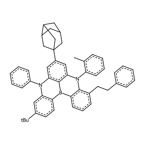 Cc1ccccc1N1c2cc(C34CC5CC(C3)C(C5)C4)cc3c2B(c2ccc(C(C)(C)C)cc2N3c2ccccc2)c2cccc(CCc3ccccc3)c21